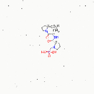 C[C@H](NC(=O)[C@@H]1CCCN1CP(=O)(O)O)C(=O)N1CCC[C@H]1C(=O)O